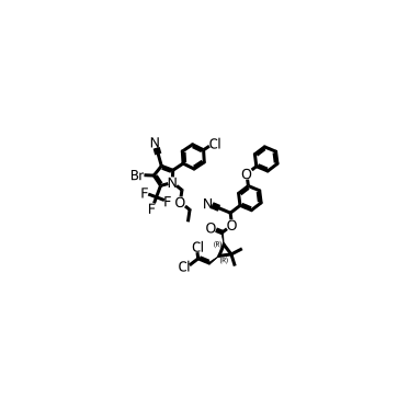 CC1(C)[C@H](C(=O)OC(C#N)c2cccc(Oc3ccccc3)c2)[C@@H]1C=C(Cl)Cl.CCOCn1c(-c2ccc(Cl)cc2)c(C#N)c(Br)c1C(F)(F)F